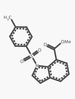 COC(=O)c1cccc2ccn(S(=O)(=O)c3ccc(C)cc3)c12